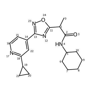 CC(C(=O)NC1CCCCC1)c1nc(-c2ccnc(C3CC3)c2)no1